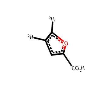 [2H]c1cc(C(=O)O)oc1[2H]